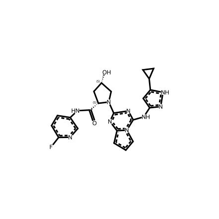 O=C(Nc1ccc(F)nc1)[C@@H]1C[C@H](O)CN1c1nc(Nc2cc(C3CC3)[nH]n2)n2cccc2n1